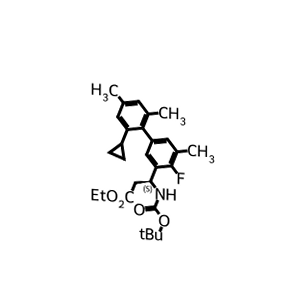 CCOC(=O)C[C@H](NC(=O)OC(C)(C)C)c1cc(-c2c(C)cc(C)cc2C2CC2)cc(C)c1F